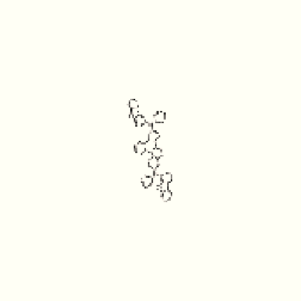 c1ccc(N(c2ccc3oc4ccccc4c3c2)c2ccc3c(c2)c2ccccc2c2c4ccc(N(c5ccccc5)c5cccc6c5oc5ccccc56)cc4ccc32)cc1